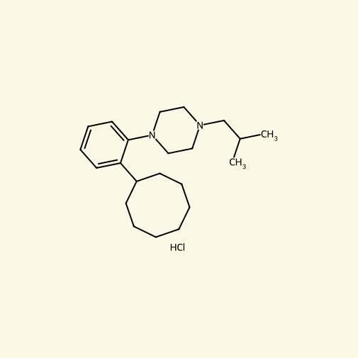 CC(C)CN1CCN(c2ccccc2C2CCCCCCC2)CC1.Cl